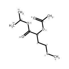 CSCCC(OC(C)=O)C(=O)OC(C)C